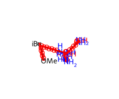 CC[C@H](C)CCC(COCCOCCOCCOCCOCCOC)OCCOCCOCCOCCOCCOCCOCCC(=O)NCCCCC(NC(=O)CNC(=O)CNC(=O)CN)C(=O)NC(CO)C(=O)NCCOCCOCCOCCOCCC(=O)NC(CO)C(N)=O